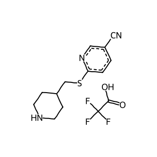 N#Cc1ccc(SCC2CCNCC2)nc1.O=C(O)C(F)(F)F